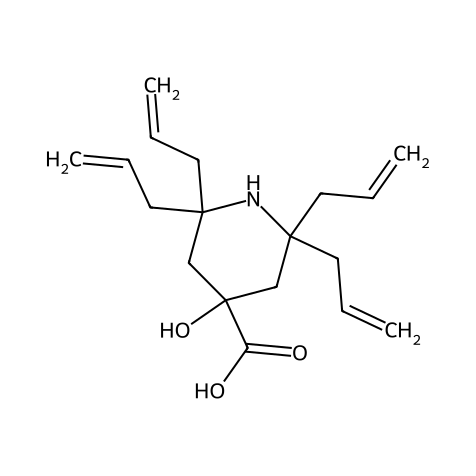 C=CCC1(CC=C)CC(O)(C(=O)O)CC(CC=C)(CC=C)N1